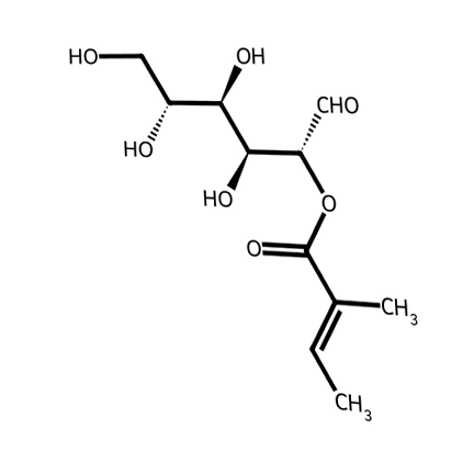 C/C=C(\C)C(=O)O[C@@H](C=O)[C@@H](O)[C@H](O)[C@H](O)CO